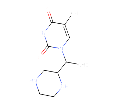 CC1=CN(C(C=O)C2CNCCN2)C(=O)[N]C1=O